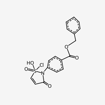 O=C(OCc1ccccc1)c1ccc(N2C(=O)C=CS2(=O)(O)Cl)cc1